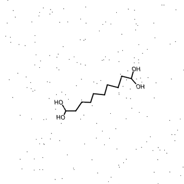 OC(O)CCCCCCCCC(O)O